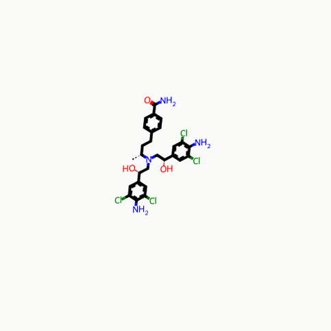 C[C@H](CCc1ccc(C(N)=O)cc1)N(C[C@@H](O)c1cc(Cl)c(N)c(Cl)c1)C[C@@H](O)c1cc(Cl)c(N)c(Cl)c1